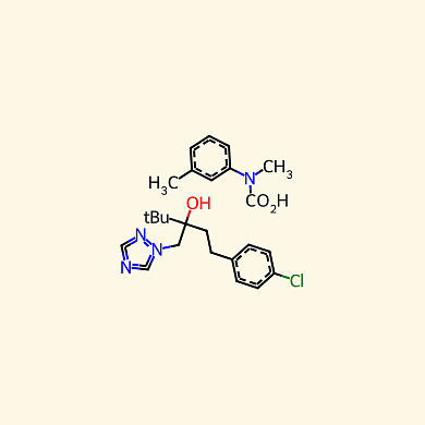 CC(C)(C)C(O)(CCc1ccc(Cl)cc1)Cn1cncn1.Cc1cccc(N(C)C(=O)O)c1